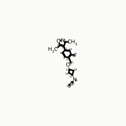 Cc1noc(C)c1-c1ccc(CO[C@H]2C[C@@H](N=C=S)C2)c(F)c1